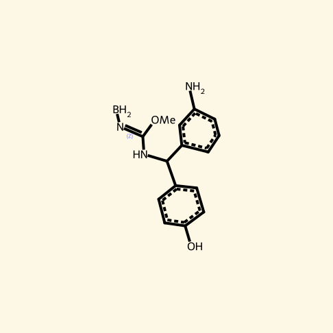 B/N=C(/NC(c1ccc(O)cc1)c1cccc(N)c1)OC